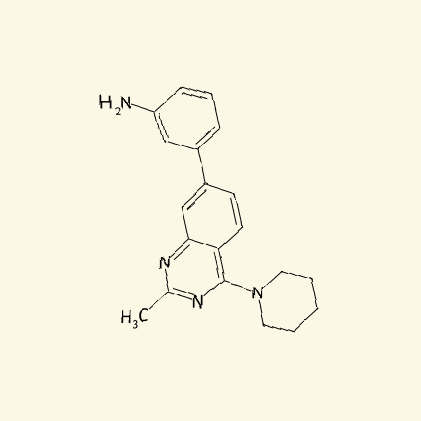 Cc1nc(N2CCCCC2)c2ccc(-c3cccc(N)c3)cc2n1